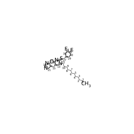 CCCCCCCCCCCCn1cc(Cc2cncnc2)c(=O)nc1SCc1ccc(F)c(F)c1